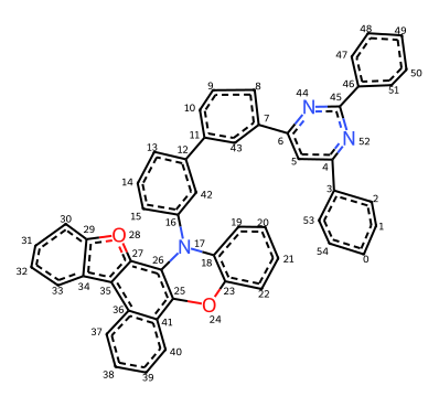 c1ccc(-c2cc(-c3cccc(-c4cccc(N5c6ccccc6Oc6c5c5oc7ccccc7c5c5ccccc65)c4)c3)nc(-c3ccccc3)n2)cc1